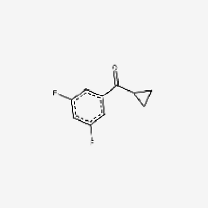 O=C(c1cc(F)cc(F)c1)C1CC1